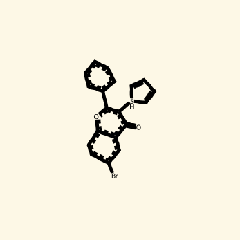 O=c1c([SH]2C=CC=C2)c(-c2ccccc2)oc2ccc(Br)cc12